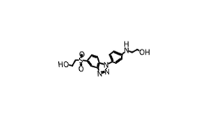 O=S(=O)(CCO)c1ccc2c(c1)nnn2-c1ccc(NCCO)cc1